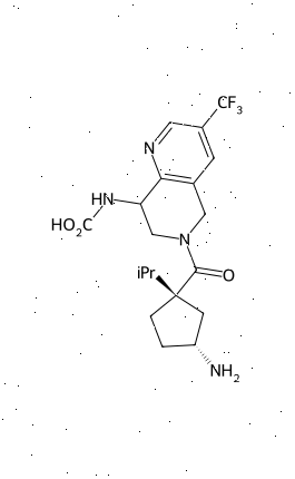 CC(C)[C@]1(C(=O)N2Cc3cc(C(F)(F)F)cnc3C(NC(=O)O)C2)CC[C@@H](N)C1